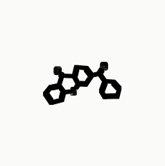 O=C(c1ccccc1)c1ccc2c(=O)c3ccccc3sc2c1